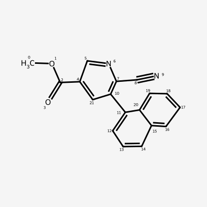 COC(=O)c1cnc(C#N)c(-c2cccc3ccccc23)c1